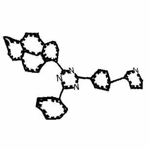 c1ccc(-c2nc(-c3ccc(-c4cccnc4)cc3)nc(-c3ccc4ccc5cccc6ccc3c4c56)n2)cc1